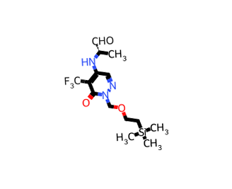 C[C@@H](C=O)Nc1cnn(COCC[Si](C)(C)C)c(=O)c1C(F)(F)F